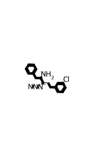 [N-]=[N+]=N[C@@H](CCc1cccc(Cl)c1)C(N)Cc1ccccc1